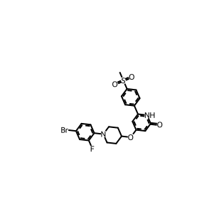 CS(=O)(=O)c1ccc(-c2cc(OC3CCN(c4ccc(Br)cc4F)CC3)cc(=O)[nH]2)cc1